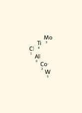 [Al].[C].[Co].[Mo].[Ti].[W]